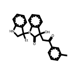 CCC1(N2C(=O)C(O)(CC(=O)c3cccc(C)c3)c3ccccc32)CNc2ccccc21